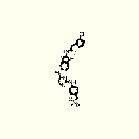 CN(c1ccc2c(c1)nc(NC(=O)Cc1cccc(Cl)c1)n2C)c1ccnc(Nc2ccc(CS(C)(=O)=O)cc2)n1